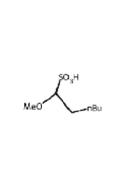 CCCCCC(OC)S(=O)(=O)O